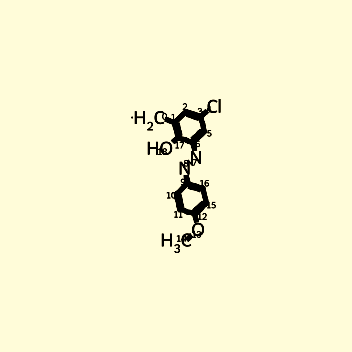 [CH2]c1cc(Cl)cc(N=Nc2ccc(OC)cc2)c1O